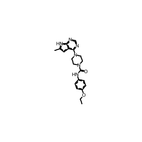 CCOc1ccc(NC(=O)N2CCN(c3ncnc4[nH]c(C)cc34)CC2)cc1